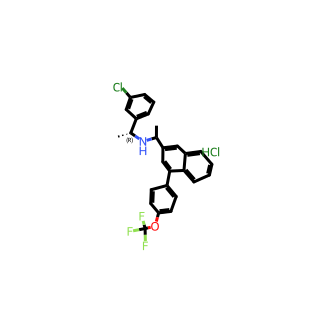 CC(N[C@H](C)c1cccc(Cl)c1)c1cc(-c2ccc(OC(F)(F)F)cc2)c2ccccc2c1.Cl